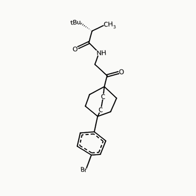 C[C@H](C(=O)NCC(=O)C12CCC(c3ccc(Br)cc3)(CC1)CC2)C(C)(C)C